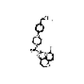 C=Cc1ccc(N2CCN(C(=S)N/N=C3/CCOc4ccc(F)nc43)CC2)cc1